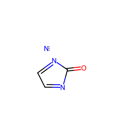 O=C1N=CC=N1.[N]